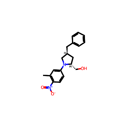 Cc1cc(N2C[C@@H](Cc3ccccc3)C[C@@H]2CO)ccc1[N+](=O)[O-]